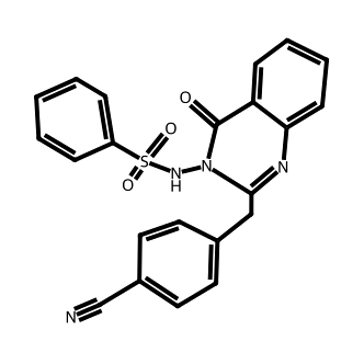 N#Cc1ccc(Cc2nc3ccccc3c(=O)n2NS(=O)(=O)c2ccccc2)cc1